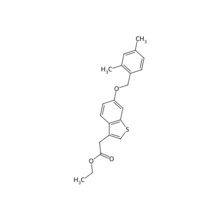 CCOC(=O)Cc1csc2cc(OCc3ccc(C)cc3C)ccc12